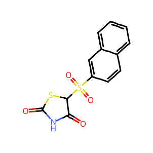 O=C1NC(=O)C(S(=O)(=O)c2ccc3ccccc3c2)S1